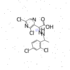 CC(N/N=C(\C(=O)O)c1ncc(Cl)nc1Cl)c1ccc(Cl)cc1Cl